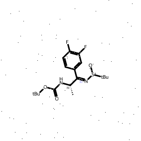 C[C@H](NC(=O)OC(C)(C)C)/C(=N/[S+]([O-])C(C)(C)C)c1ccc(F)c(F)c1